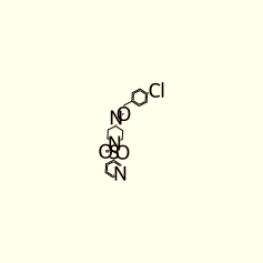 O=S(=O)(c1cccnc1)N1CCC(=NOCc2ccc(Cl)cc2)CC1